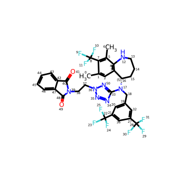 Cc1cc2c(c(C)c1C(F)(F)F)NCCC[C@@H]2N(Cc1cc(C(F)(F)F)cc(C(F)(F)F)c1)c1nnn(CCN2C(=O)c3ccccc3C2=O)n1